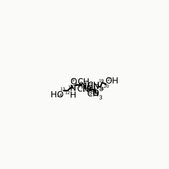 CC(C)(/N=N/C(C)(C)C(=O)NCCCO)C(=O)NCCCO